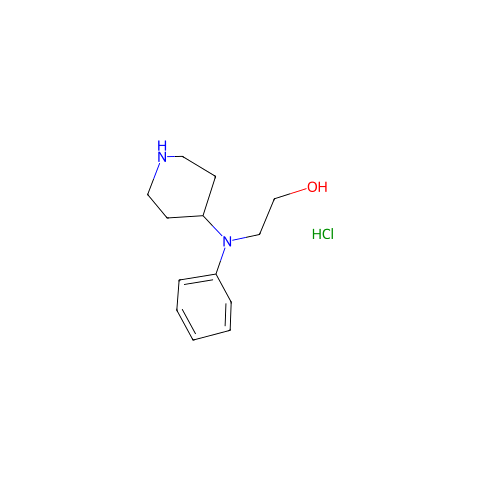 Cl.OCCN(c1ccccc1)C1CCNCC1